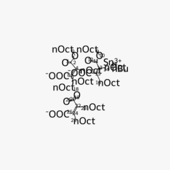 CCCCCCCCOC(=O)/C(CCCCCCCC)=C(/CCCCCCCC)C(=O)[O-].CCCCCCCCOC(=O)/C(CCCCCCCC)=C(/CCCCCCCC)C(=O)[O-].CCCCCCCCOC(=O)/C(CCCCCCCC)=C(/CCCCCCCC)C(=O)[O-].CCC[CH2][Sn+3]